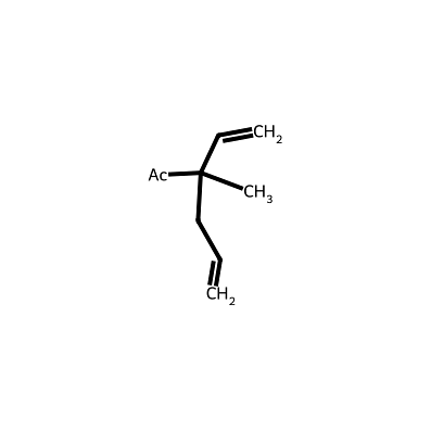 C=CCC(C)(C=C)C(C)=O